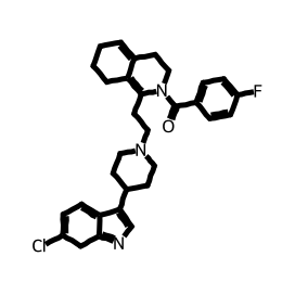 O=C(c1ccc(F)cc1)N1CCC2=CCCCC2=C1CCN1CCC(C2=CN=C3CC(Cl)=CC=C23)CC1